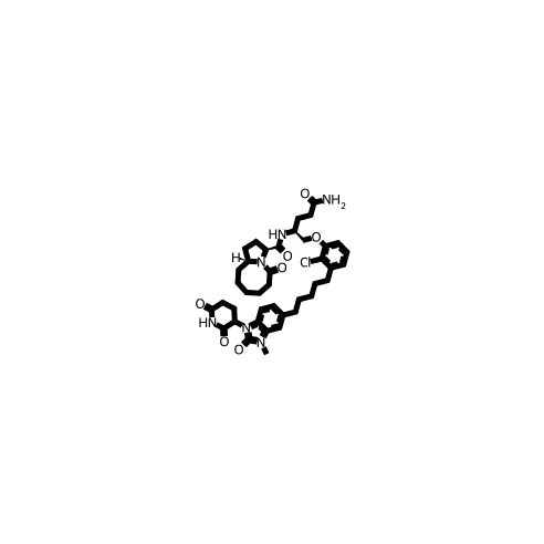 Cn1c(=O)n(C2CCC(=O)NC2=O)c2ccc(CCCCCc3cccc(OC[C@H](CCC(N)=O)NC(=O)[C@@H]4CC[C@@H]5CCCCCC(=O)N54)c3Cl)cc21